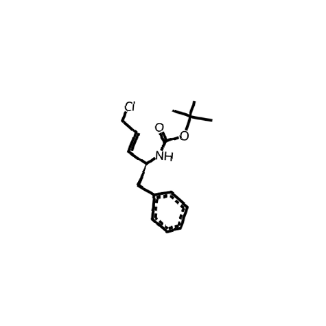 CC(C)(C)OC(=O)N[C@H](C=CCCl)Cc1ccccc1